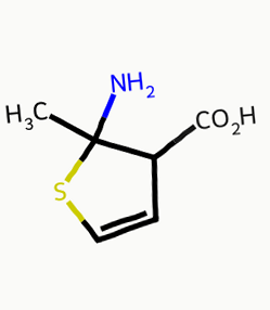 CC1(N)SC=CC1C(=O)O